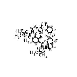 Cc1c(-c2cc(Oc3c(F)cc4[nH]ccc4c3F)ccc2F)nc2n1CCN(C(=O)OC(C)(C)C)C2c1cccc(CC2COC(C)(C)O2)c1F